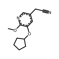 COc1ncc(CC#N)cc1OC1CCCC1